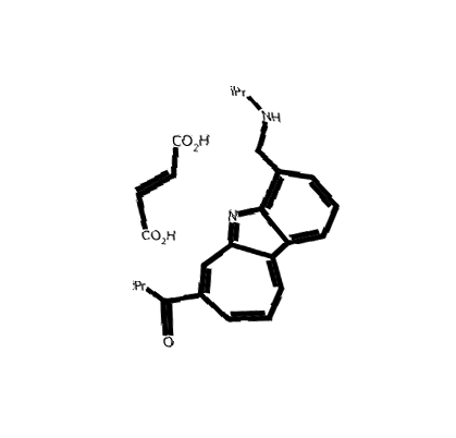 CC(C)NCc1cccc2c3cccc(C(=O)C(C)C)cc-3nc12.O=C(O)C=CC(=O)O